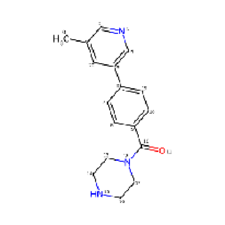 Cc1cncc(-c2ccc(C(=O)N3CCNCC3)cc2)c1